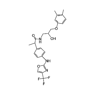 Cc1ccc(OCC(O)CNC(=O)C(C)c2ccc(Nc3nc(C(F)(F)F)co3)cc2)cc1C